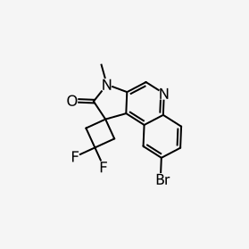 CN1C(=O)C2(CC(F)(F)C2)c2c1cnc1ccc(Br)cc21